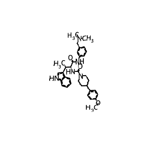 COc1ccc(C2CCN(C(=O)N[C@@H](C(=O)Nc3cccc(CN(C)C)c3)[C@H](C)c3c[nH]c4ccccc34)CC2)cc1